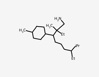 CCC(CCCC(C1CCC(C)CC1)C(C)(CC)CN)C(C)C